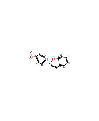 COc1ccc([C@H]2C=Cc3ccccc3O2)cc1